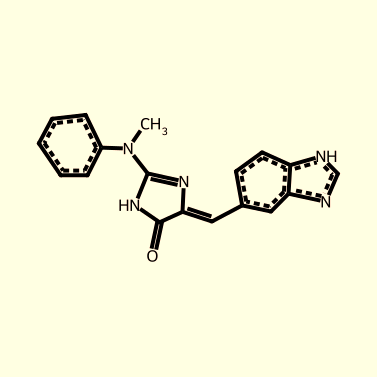 CN(C1=NC(=Cc2ccc3[nH]cnc3c2)C(=O)N1)c1ccccc1